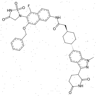 Cn1nc(C2CCC(=O)NC2=O)c2ccc([C@H]3CC[C@H](CC(=O)Nc4ccc5c(F)c(N6CC(=O)NS6(=O)=O)c(OCc6ccccc6)cc5c4)CC3)cc21